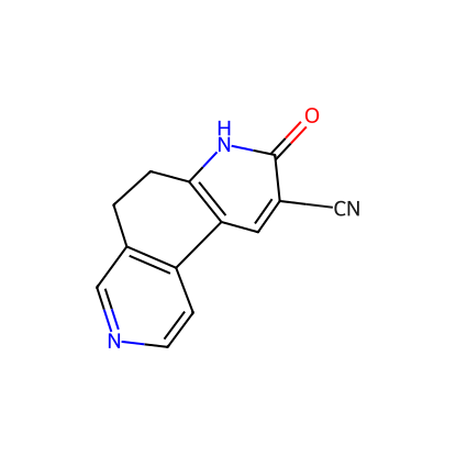 N#Cc1cc2c([nH]c1=O)CCc1cnccc1-2